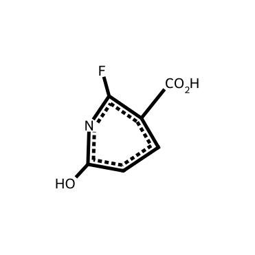 O=C(O)c1ccc(O)nc1F